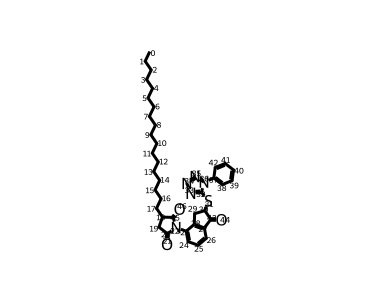 CCCCCCCCCCCCCCCCCCC1CC(=O)N(c2cccc3c2CC(Sc2nnnn2-c2ccccc2)C3=O)C1=O